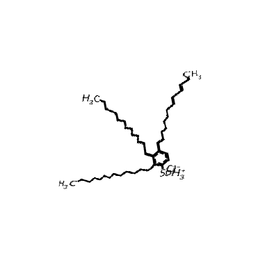 CCCCCCCCCCCCCc1cc[c]([SbH3+])c(CCCCCCCCCCCCC)c1CCCCCCCCCCCCC.[Cl-]